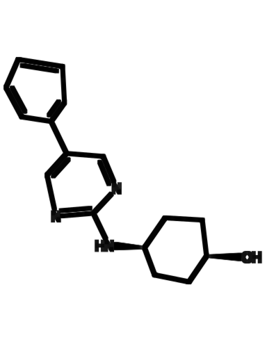 O[C@H]1CC[C@@H](Nc2ncc(-c3ccccc3)cn2)CC1